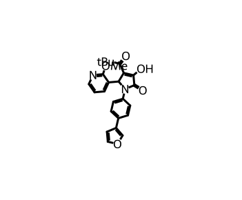 COc1ncccc1C1C(C(=O)C(C)(C)C)=C(O)C(=O)N1c1ccc(-c2ccoc2)cc1